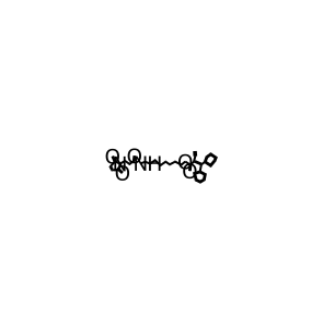 C#CC(C(=O)OCCCCCCCCNC(=O)CCN1C(=O)C=CC1=O)=C(c1ccccc1)c1ccccc1